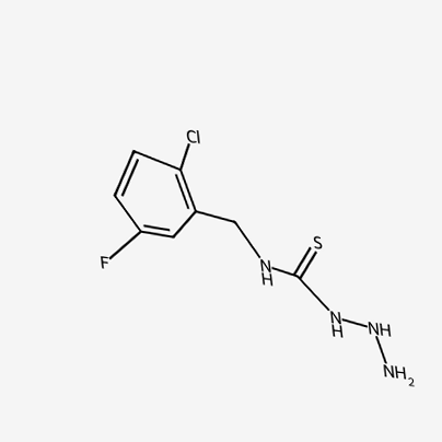 NNNC(=S)NCc1cc(F)ccc1Cl